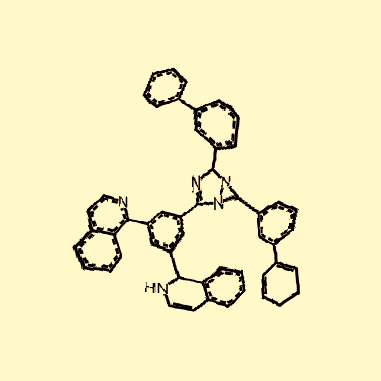 C1=CC(c2cccc(C3N4C(c5cc(-c6nccc7ccccc67)cc(C6NC=Cc7ccccc76)c5)=NC(c5cccc(-c6ccccc6)c5)N34)c2)=CCC1